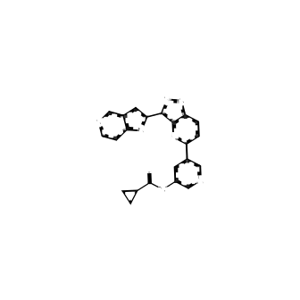 O=C(Nc1cncc(-c2ccc3[nH]nc(-c4cc5cnccc5[nH]4)c3n2)c1)C1CC1